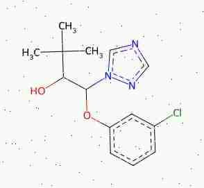 CC(C)(C)C(O)C(Oc1cccc(Cl)c1)n1cncn1